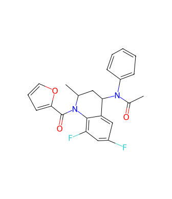 CC(=O)N(c1ccccc1)C1CC(C)N(C(=O)c2ccco2)c2c(F)cc(F)cc21